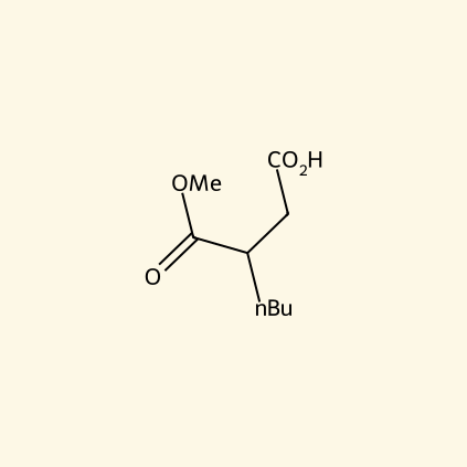 CCCCC(CC(=O)O)C(=O)OC